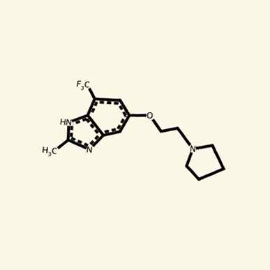 Cc1nc2cc(OCCN3CCCC3)cc(C(F)(F)F)c2[nH]1